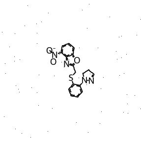 O=[N+]([O-])c1cccc2oc(CSc3ccccc3N3CCC=N3)nc12